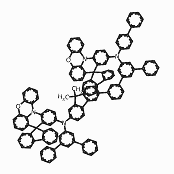 CC1(C)c2ccc(-c3cccc(-c4cc(-c5ccccc5)cc(N(c5ccc(-c6ccccc6)cc5)c5ccc6c(c5)C5(c7ccccc7-c7ccccc75)c5cccc7c5N6c5ccccc5O7)c4)c3)cc2-c2ccc(N(c3cc(-c4ccccc4)cc(-c4ccccc4)c3)c3ccc4c(c3)C3(c5ccccc5-c5ccccc53)c3cccc5c3N4c3ccccc3O5)cc21